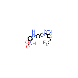 O=c1[nH]c2cc(NC3CCC4(C3)CN(c3ncnc5sc(CC(F)(F)F)cc35)C4)ccc2o1